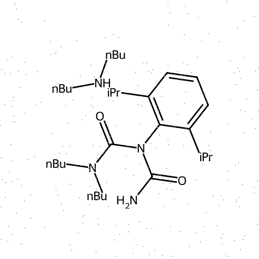 CCCCN(CCCC)C(=O)N(C(N)=O)c1c(C(C)C)cccc1C(C)C.CCCCNCCCC